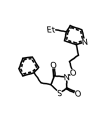 CCc1ccnc(CCON2C(=O)SC(Cc3ccccc3)C2=O)c1